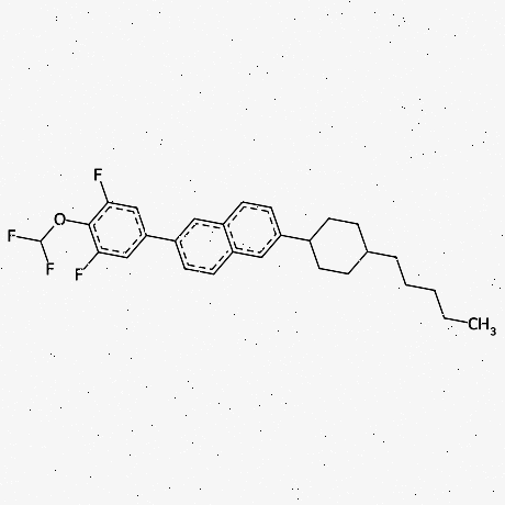 CCCCCC1CCC(c2ccc3cc(-c4cc(F)c(OC(F)F)c(F)c4)ccc3c2)CC1